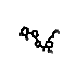 CCOCc1ccc(C)c(Nc2ncc(-c3cccc(-c4ccc[nH]c4=O)c3)s2)c1